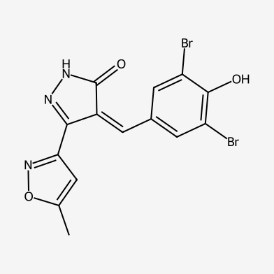 Cc1cc(C2=NNC(=O)C2=Cc2cc(Br)c(O)c(Br)c2)no1